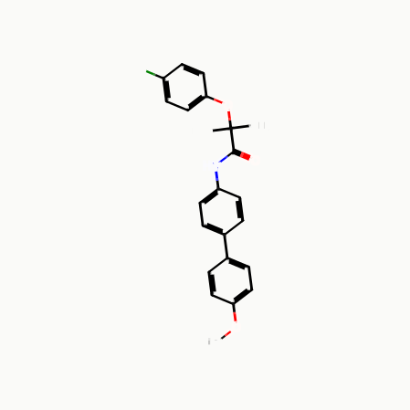 CC(C)Oc1ccc(-c2ccc(NC(=O)C(C)(C)Oc3ccc(F)cc3)cc2)cc1